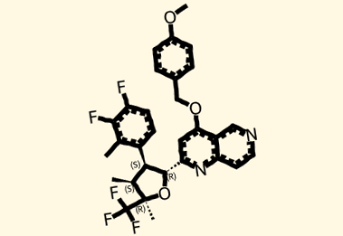 COc1ccc(COc2cc([C@@H]3O[C@@](C)(C(F)(F)F)[C@@H](C)[C@H]3c3ccc(F)c(F)c3C)nc3ccncc23)cc1